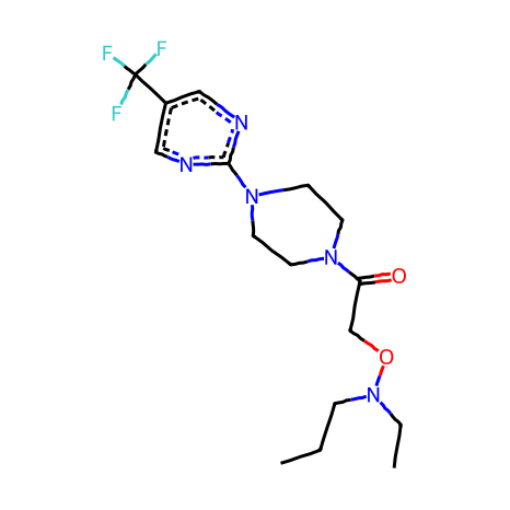 CCCN(CC)OCC(=O)N1CCN(c2ncc(C(F)(F)F)cn2)CC1